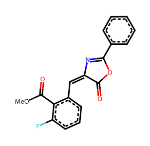 COC(=O)c1c(F)cccc1/C=C1/N=C(c2ccccc2)OC1=O